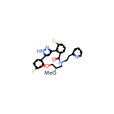 CO[C@H](CO)CN(CCc1ccccn1)C(=O)c1cccc(F)c1-c1cc(-c2ccc(F)cc2)[nH]n1